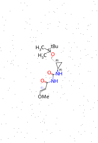 CO/C=C/C(=O)NC(=O)N[C@@H]1C[C@H]1CO[Si](C)(C)C(C)(C)C